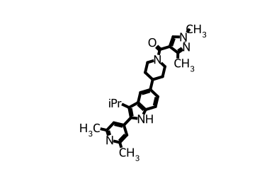 Cc1cc(-c2[nH]c3ccc(C4CCN(C(=O)c5cn(C)nc5C)CC4)cc3c2C(C)C)cc(C)n1